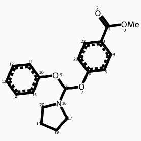 COC(=O)c1ccc(OC(Oc2ccccc2)N2CCCC2)cc1